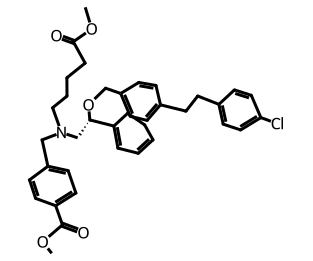 COC(=O)CCCCN(Cc1ccc(C(=O)OC)cc1)C[C@H](OCc1ccc(CCc2ccc(Cl)cc2)cc1)C1=CC=CCC1